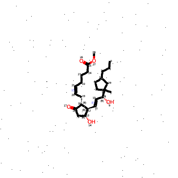 CCCC1CCC(C)([C@H](O)/C=C/[C@H]2[C@H](O)CC(=O)[C@@H]2C/C=C\CCCC(=O)OC)C1